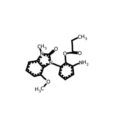 CCC(=O)Oc1c(N)cccc1-n1c(=O)n(C)c2cccc(OC)c21